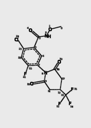 CONC(=O)c1cc(N2C(=O)CC(C(F)(F)F)CC2=O)c(F)cc1Cl